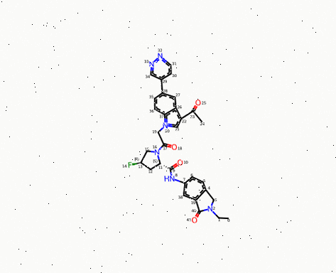 CCN1Cc2ccc(NC(=O)[C@@H]3C[C@@H](F)CN3C(=O)Cn3cc(C(C)=O)c4cc(-c5ccnnc5)ccc43)cc2C1=O